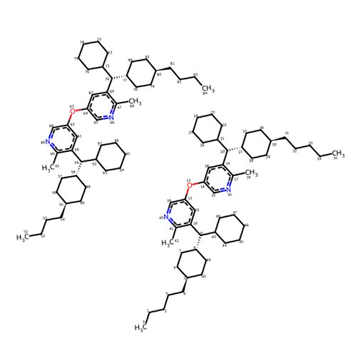 CCCCC[C@H]1CC[C@H](C(c2cc(Oc3cnc(C)c(C(C4CCCCC4)[C@H]4CC[C@H](CCCCC)CC4)c3)cnc2C)C2CCCCC2)CC1.CCCC[C@H]1CC[C@H](C(c2cc(Oc3cnc(C)c(C(C4CCCCC4)[C@H]4CC[C@H](CCCC)CC4)c3)cnc2C)C2CCCCC2)CC1